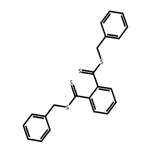 S=C(SCc1ccccc1)c1ccccc1C(=S)SCc1ccccc1